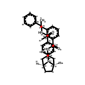 COc1cccc(C(=O)N[C@H]2C[C@H]3CC[C@@H](C2)N3c2ccc(C(=O)NCc3ccccc3)cn2)c1I